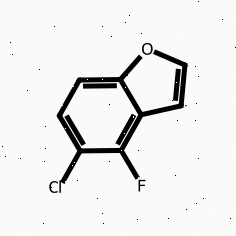 Fc1c(Cl)ccc2oc[c]c12